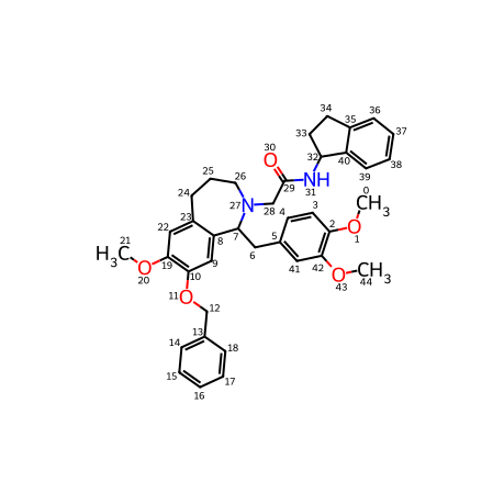 COc1ccc(CC2c3cc(OCc4ccccc4)c(OC)cc3CCCN2CC(=O)NC2CCc3ccccc32)cc1OC